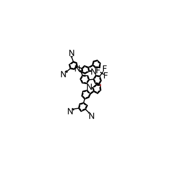 N#Cc1cc(C#N)cc(-c2ccc3c(c2)c2ccccc2n3-c2ccc(C#N)cc2-c2cccc(C(F)(F)F)c2-n2c3ccccc3c3cc(-c4cc(C#N)cc(C#N)c4)ccc32)c1